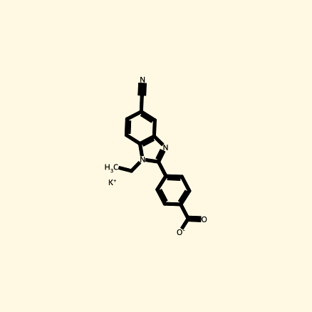 CCn1c(-c2ccc(C(=O)[O-])cc2)nc2cc(C#N)ccc21.[K+]